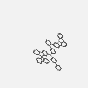 c1ccc(-c2ccc(N(c3cccc(-c4ccccc4-c4ccc5c6cccc7c8ccccc8n(c5c4)c76)c3)c3ccc4c(c3)C(c3ccccc3)(c3ccccc3)c3ccccc3-4)cc2)cc1